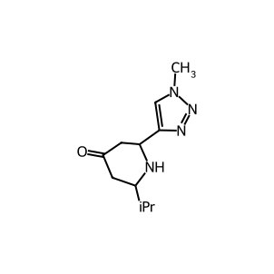 CC(C)C1CC(=O)CC(c2cn(C)nn2)N1